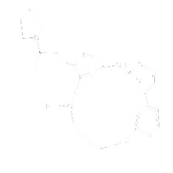 CN1C/C=C/CCOc2cccc(c2)-c2ccnc(n2)Nc2ccc(OCC(=O)N3CCCC3)c(c2)C1